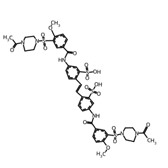 COc1ccc(C(=O)Nc2ccc(/C=C/c3ccc(NC(=O)c4ccc(OC)c(S(=O)(=O)N5CCN(C(C)=O)CC5)c4)cc3S(=O)(=O)O)c(S(=O)(=O)O)c2)cc1S(=O)(=O)N1CCN(C(C)=O)CC1